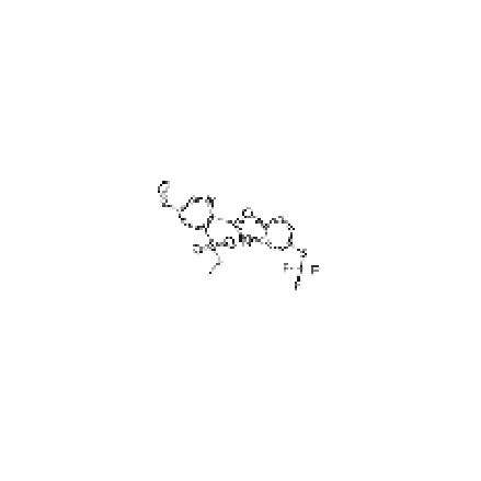 CCS(=O)(=O)c1cc(C=O)cnc1-c1nc2cc(SC(F)(F)F)ccc2o1